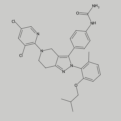 Cc1cccc(OCC(C)C)c1-n1nc2c(c1-c1ccc(NC(N)=O)cc1)CN(c1ncc(Cl)cc1Cl)CC2